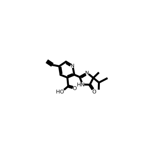 C#Cc1cnc(C2=NC(C)(C(C)C)C(=O)N2)c(C(=O)O)c1